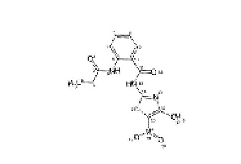 CCC(=O)Nc1ccccc1C(=O)Nc1nc(C)c([N+](=O)[O-])s1